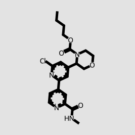 CCCCOC(=O)N1CCOCC1c1cc(Cl)nc(-c2ccnc(C(=O)NC)c2)c1